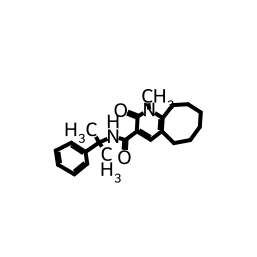 Cn1c2c(cc(C(=O)NC(C)(C)c3ccccc3)c1=O)CCCCCC2